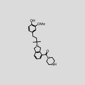 COc1cc(CCC(C)(C)N2Cc3cccc(C(=O)N4CCNCC4)c3C2)ccc1O